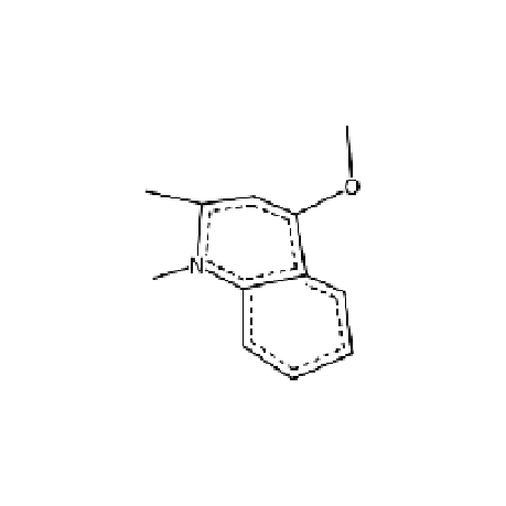 COc1cc(C)[n+](C)c2ccccc12